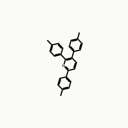 Cc1ccc(-c2ccc(-c3ccc(C)cc3)c(-c3ccc(C)cc3)n2)cc1